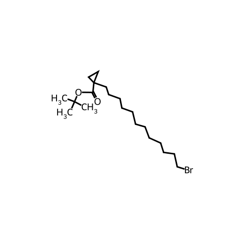 CC(C)(C)OC(=O)C1(CCCCCCCCCCCCBr)CC1